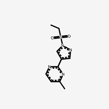 CCS(=O)(=O)n1cc(-c2nccc(C)n2)cn1